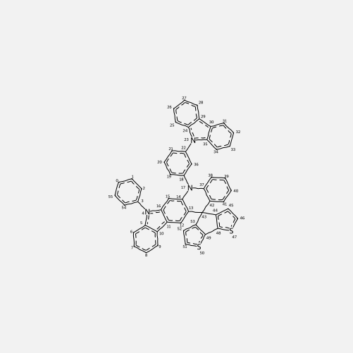 c1ccc(-n2c3ccccc3c3cc4c(cc32)N(c2cccc(-n3c5ccccc5c5ccccc53)c2)c2ccccc2C42c3ccsc3-c3sccc32)cc1